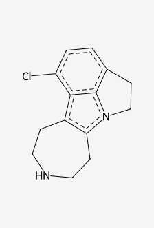 Clc1ccc2c3c1c1c(n3CC2)CCNCC1